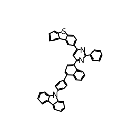 c1ccc(-c2nc(-c3ccc4sc5ccccc5c4c3)cc(-c3ccc(-c4ccc(-n5c6ccccc6c6ccccc65)cc4)c4ccccc34)n2)cc1